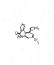 Cc1cc(C)c2c(c1)NC(=O)N1CCN=C21